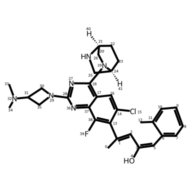 C/C(=C\C(O)=C/c1ccccc1C)c1c(Cl)cc2c(N3C[C@@H]4CC[C@H]3CN4)nc(N3CC(N(C)C)C3)nc2c1F